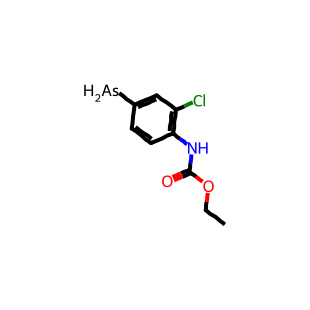 CCOC(=O)Nc1ccc([AsH2])cc1Cl